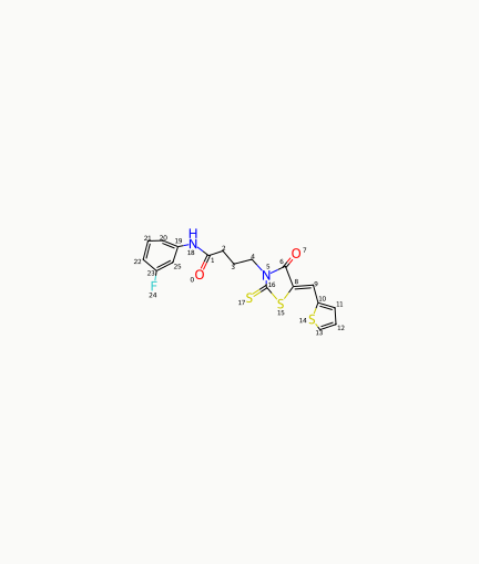 O=C(CCCN1C(=O)/C(=C/c2cccs2)SC1=S)Nc1cccc(F)c1